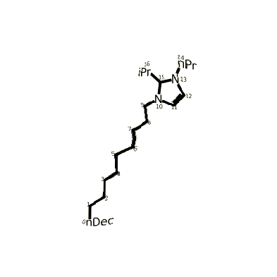 CCCCCCCCCCCCCCCCCCCN1C=CN(CCC)C1C(C)C